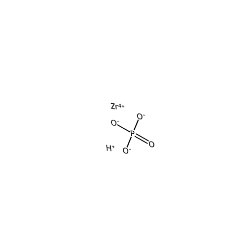 O=P([O-])([O-])[O-].[H+].[Zr+4]